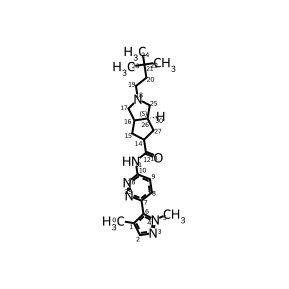 Cc1cnn(C)c1-c1ccc(NC(=O)C2CC3CN(CCC(C)(C)C)C[C@H]3C2)nn1